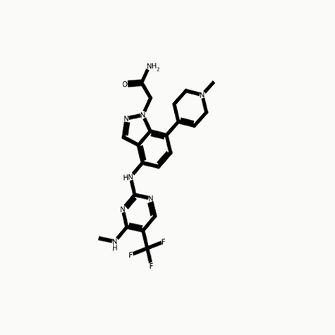 CNc1nc(Nc2ccc(C3=CCN(C)CC3)c3c2cnn3CC(N)=O)ncc1C(F)(F)F